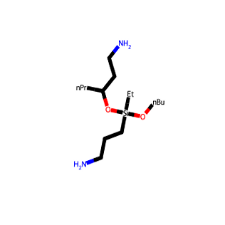 CCCCO[Si](CC)(CCCN)OC(CCC)CCN